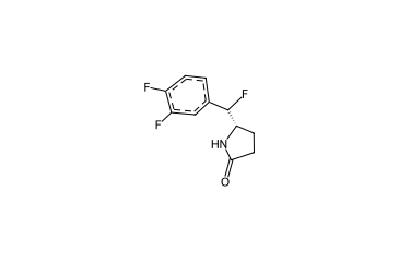 O=C1CC[C@@H](C(F)c2ccc(F)c(F)c2)N1